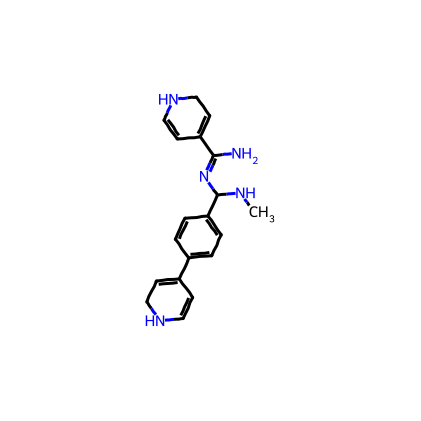 CNC(/N=C(\N)C1=CCNC=C1)c1ccc(C2=CCNC=C2)cc1